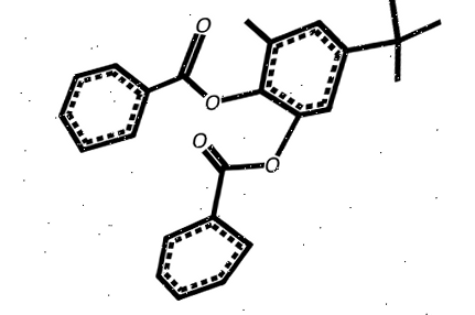 Cc1cc(C(C)(C)C)cc(OC(=O)c2ccccc2)c1OC(=O)c1ccccc1